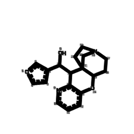 OC(c1ccoc1)C1c2ncccc2OC2CCN3CCC21C3